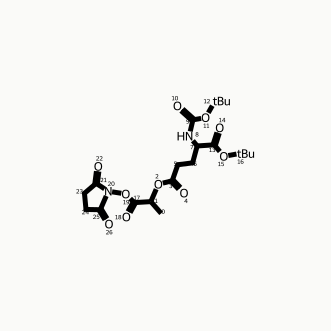 CC(OC(=O)CCC(NC(=O)OC(C)(C)C)C(=O)OC(C)(C)C)C(=O)ON1C(=O)CCC1=O